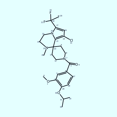 COc1cc(C(=O)N2CCC3(CC2)c2c(Cl)cc(C(F)(F)F)n2CCN3C)ccc1OC(C)C